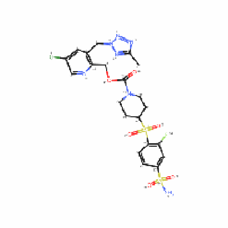 Cc1nnn(Cc2cc(Cl)cnc2COC(=O)N2CCC(S(=O)(=O)c3ccc(S(N)(=O)=O)cc3F)CC2)n1